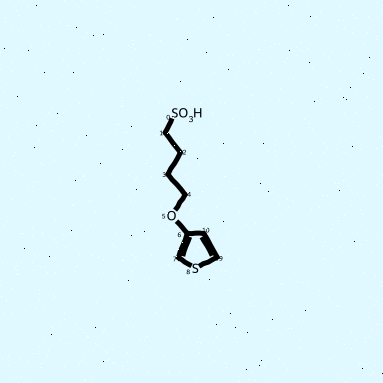 O=S(=O)(O)CCCCOc1[c]s[c]c1